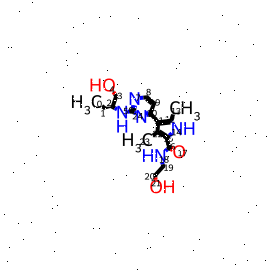 CC[C@@H](CO)Nc1nccc(-c2c(C)[nH]c(C(=O)NCCO)c2C)n1